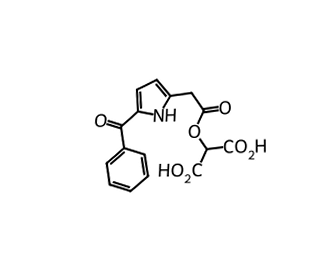 O=C(Cc1ccc(C(=O)c2ccccc2)[nH]1)OC(C(=O)O)C(=O)O